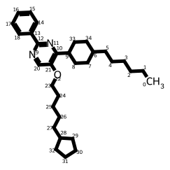 CCCCCCC1CCC(c2nc(-c3ccccc3)ncc2OCCCCCC2CCCC2)CC1